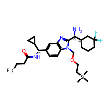 C[Si](C)(C)CCOCn1c([C@@H](N)[C@@H]2CCCC(F)(F)C2)nc2cc([C@H](NC(=O)CCC(F)(F)F)C3CC3)ccc21